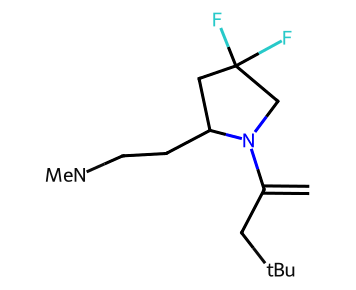 C=C(CC(C)(C)C)N1CC(F)(F)CC1CCNC